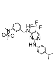 CC(C)c1ccc(Nc2ncc(C(F)(F)F)c(NCc3cccc(N(C)S(C)(=O)=O)c3)n2)cc1